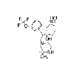 C[C@H]1CN(CC(c2cccc(OC(F)(F)F)c2)C2(O)CCCCC2)CCN1.Cl.Cl